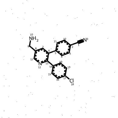 N#Cc1ccc(-c2cc(CN)cnc2-c2ccc(Cl)cc2)cc1